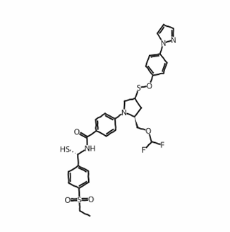 CCS(=O)(=O)c1ccc([C@H](S)NC(=O)c2ccc(N3CC(SOc4ccc(-n5cccn5)cc4)C[C@H]3COC(F)F)cc2)cc1